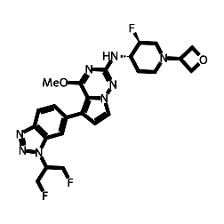 COc1nc(N[C@H]2CCN(C3COC3)C[C@@H]2F)nn2ccc(-c3ccc4nnn(C(CF)CF)c4c3)c12